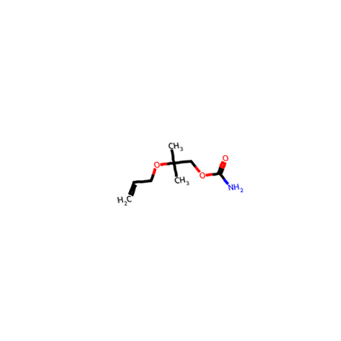 C=CCOC(C)(C)COC(N)=O